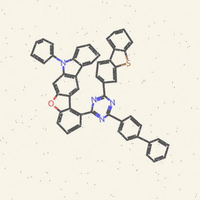 c1ccc(-c2ccc(-c3nc(-c4ccc5c(c4)sc4ccccc45)nc(-c4cccc5oc6cc7c(cc6c45)c4ccccc4n7-c4ccccc4)n3)cc2)cc1